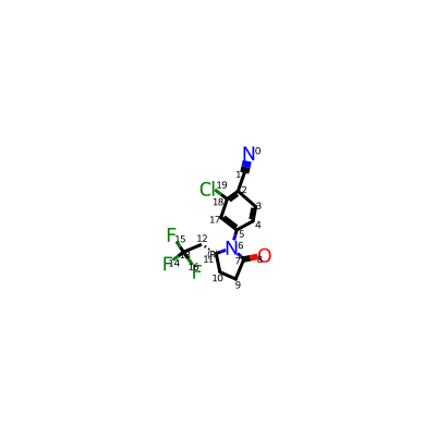 N#Cc1ccc(N2C(=O)CC[C@@H]2CC(F)(F)F)cc1Cl